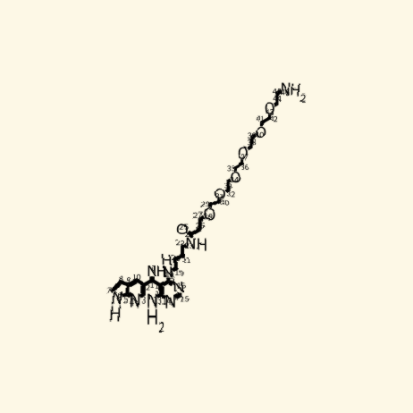 N=C(c1cnc2[nH]ccc2c1)c1c(N)ncnc1NCCCCNC(=O)CCOCCOCCOCCOCCOCCOCCN